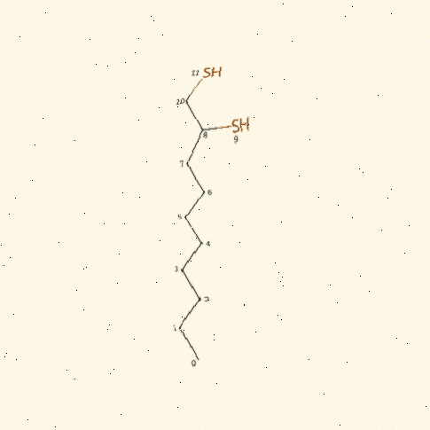 CCCCCCCCC(S)CS